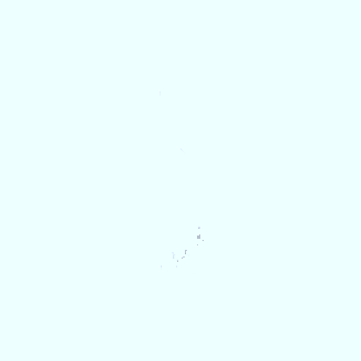 CCCCCCCCC=CCCCCCCCCOOP(=O)(O)OCC[N+](C)(C)C